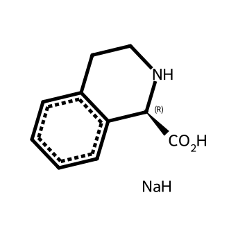 O=C(O)[C@@H]1NCCc2ccccc21.[NaH]